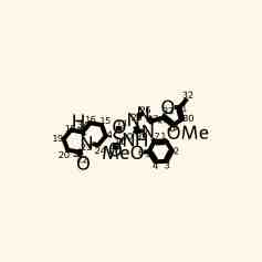 COc1cccc(OC)c1-n1c(NS(=O)(=O)[C@H]2CC[C@@H]3CCCC(=O)N3C2)nnc1-c1ccc(C)o1